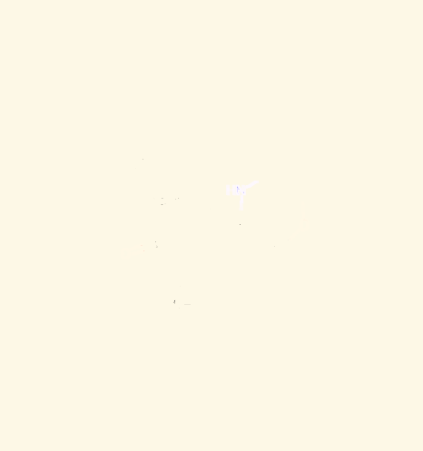 C1COCCN1.CC1CCc2ccccc2C1=O